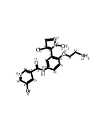 Cn1ncc(Cl)c1-c1cc(NC(=O)c2cncc(Br)c2)ccc1OCCN